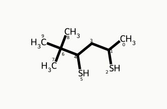 CC(S)CC(S)C(C)(C)C